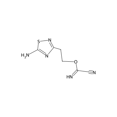 N#CC(=N)OCCc1nsc(N)n1